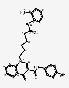 C=C1C(C(=O)Nc2ccc(C(C)C)cc2)=CN(CCCCCC(=O)Nc2ccccc2N)c2ccccc21